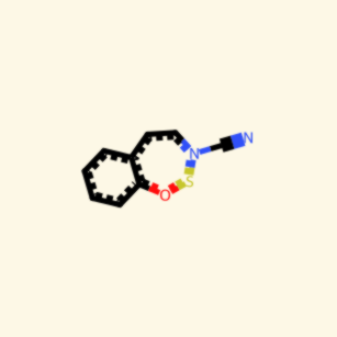 N#Cn1ccc2ccccc2os1